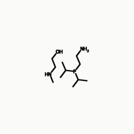 CC(C)P(CCN)C(C)C.CNCCO